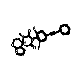 CN1C(=O)N(c2c(F)cc(C#Cc3ccccc3)cc2F)C(=O)C[C@]12CCOc1ncccc12